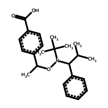 CC(ON(C(c1ccccc1)C(C)C)C(C)(C)C)c1ccc(C(=O)O)cc1